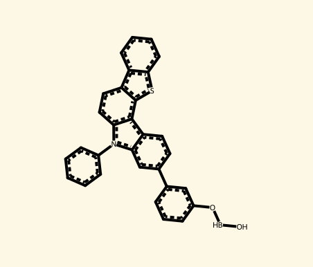 OBOc1cccc(-c2ccc3c4c5sc6ccccc6c5ccc4n(-c4ccccc4)c3c2)c1